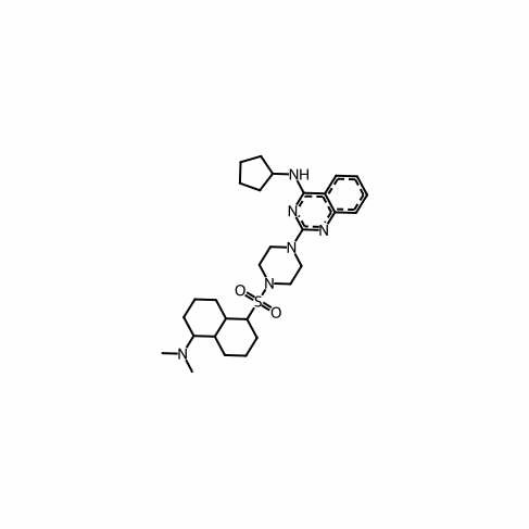 CN(C)C1CCCC2C1CCCC2S(=O)(=O)N1CCN(c2nc(NC3CCCC3)c3ccccc3n2)CC1